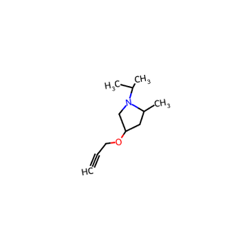 C#CCOC1CC(C)N(C(C)C)C1